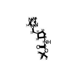 CC(C)(C)OC(=O)N[C@@H]1CC[C@H](Cn2cnnn2)C1